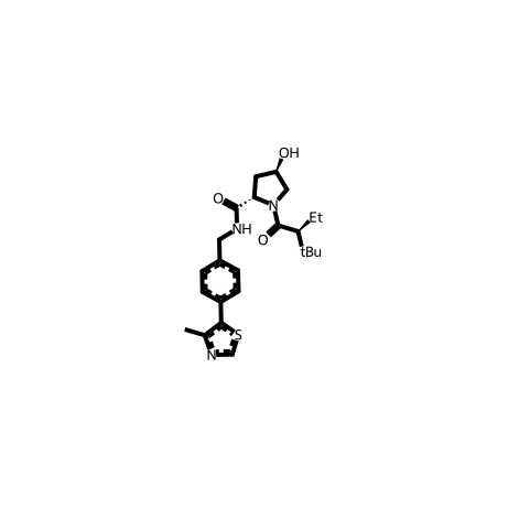 CC[C@H](C(=O)N1C[C@H](O)C[C@H]1C(=O)NCc1ccc(-c2scnc2C)cc1)C(C)(C)C